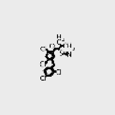 CC(C)C(SC#N)C(=O)c1cc(Cc2ccc(Cl)cc2Cl)c(Cl)cc1Cl